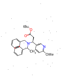 COc1ccc([C@H](CC(=O)OC(C)(C)C)N(Cc2ccccc2)C(C)c2ccccc2)cn1